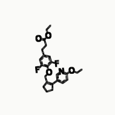 CCOC(=O)CCc1cc(F)c(OCC2=C(c3ccc(OCC)nc3)CCC2)c(F)c1